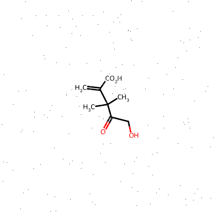 C=C(C(=O)O)C(C)(C)C(=O)CO